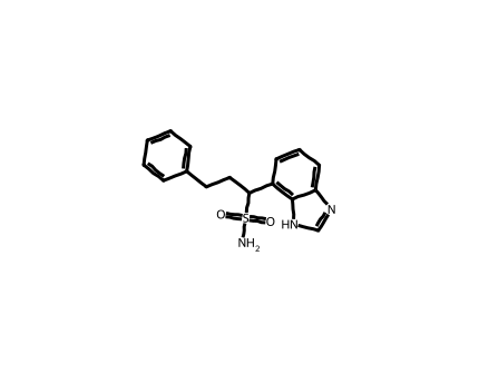 NS(=O)(=O)C(CCc1ccccc1)c1cccc2nc[nH]c12